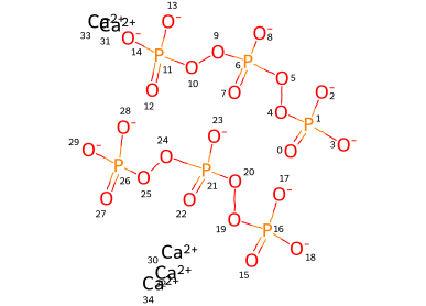 O=P([O-])([O-])OOP(=O)([O-])OOP(=O)([O-])[O-].O=P([O-])([O-])OOP(=O)([O-])OOP(=O)([O-])[O-].[Ca+2].[Ca+2].[Ca+2].[Ca+2].[Ca+2]